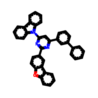 c1ccc(-c2cccc(-c3cc(-n4c5ccccc5c5ccccc54)nc(-c4ccc5oc6ccccc6c5c4)n3)c2)cc1